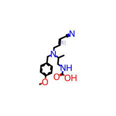 COc1ccc(CN(C/C=C/C#N)C(C)CNC(=O)O)cc1